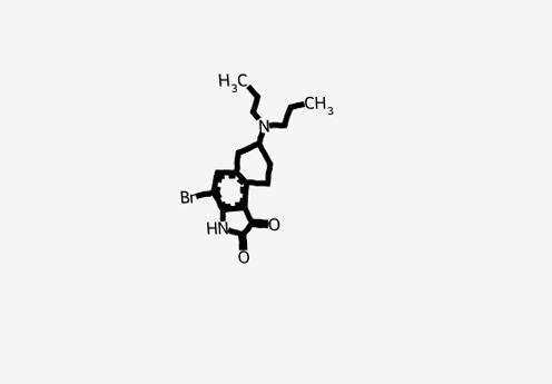 CCCN(CCC)C1CCc2c(cc(Br)c3c2C(=O)C(=O)N3)C1